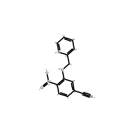 N#Cc1ccc([N+](=O)[O-])c(OCc2ccccn2)c1